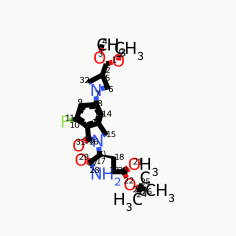 COC(OC)C1CN(c2cc(F)c3c(c2)CN([C@@H](CCC(=O)OC(C)(C)C)C(N)=O)C3=O)C1